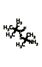 CC(C)(N)SP(F)C(C)(C)C